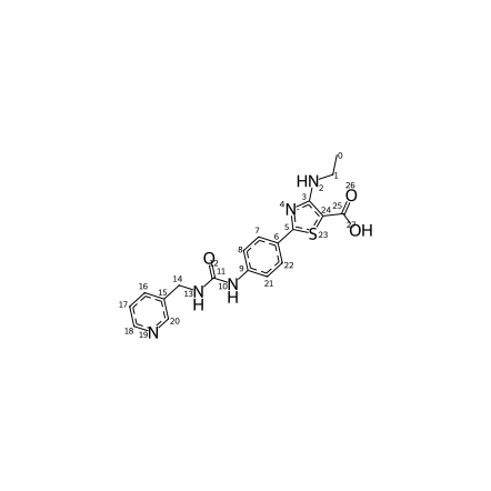 CCNc1nc(-c2ccc(NC(=O)NCc3cccnc3)cc2)sc1C(=O)O